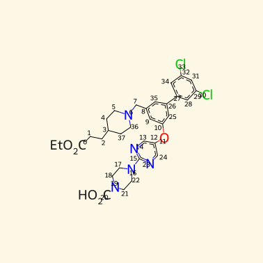 CCOC(=O)CCC1CCN(Cc2cc(Oc3cnc(N4CCN(C(=O)O)CC4)nc3)cc(-c3cc(Cl)cc(Cl)c3)c2)CC1